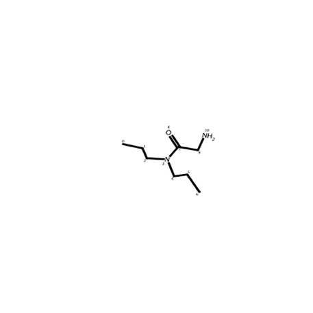 CCCN(CCC)C(=O)CN